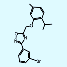 Cc1ccc(C(C)C)c(OCc2nc(-c3cccc(Br)c3)no2)c1